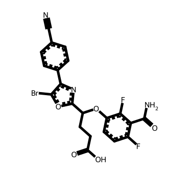 N#Cc1ccc(-c2nc(C(CCC(=O)O)Oc3ccc(F)c(C(N)=O)c3F)oc2Br)cc1